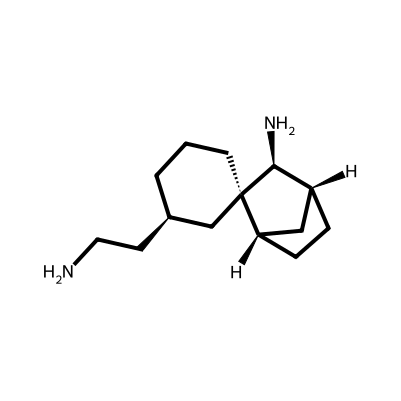 NCC[C@H]1CCC[C@@]2(C1)[C@H]1CC[C@H](C1)[C@@H]2N